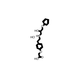 Cl.O=C(O)COc1ccc(CCNCC(O)COc2ccccc2)cc1